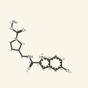 CC(C)(C)OC(=O)N1CCC(CNC(=O)c2cc3cc(Cl)ccc3[nH]2)C1